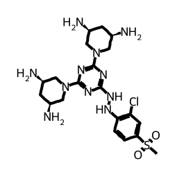 CS(=O)(=O)c1ccc(NNc2nc(N3C[C@H](N)C[C@H](N)C3)nc(N3C[C@H](N)C[C@H](N)C3)n2)c(Cl)c1